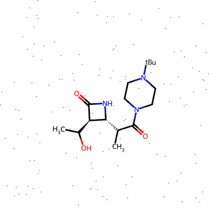 CC(C(=O)N1CCN(C(C)(C)C)CC1)[C@H]1NC(=O)[C@@H]1C(C)O